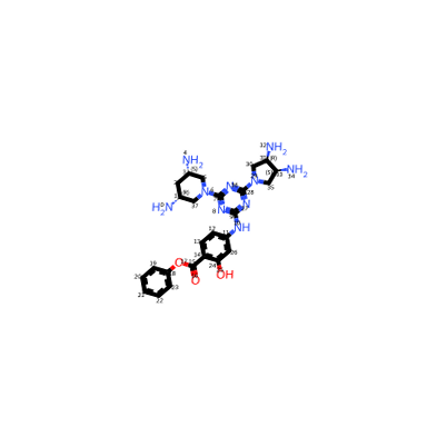 N[C@@H]1C[C@H](N)CN(c2nc(Nc3ccc(C(=O)Oc4ccccc4)c(O)c3)nc(N3C[C@@H](N)[C@@H](N)C3)n2)C1